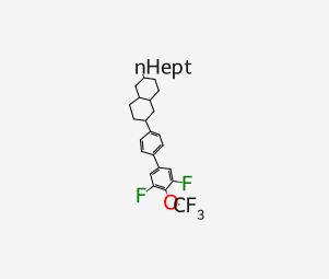 CCCCCCCC1CCC2CC(c3ccc(-c4cc(F)c(OC(F)(F)F)c(F)c4)cc3)CCC2C1